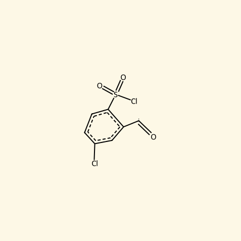 O=[C]c1cc(Cl)ccc1S(=O)(=O)Cl